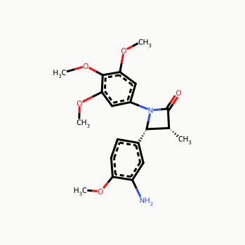 COc1ccc([C@H]2[C@@H](C)C(=O)N2c2cc(OC)c(OC)c(OC)c2)cc1N